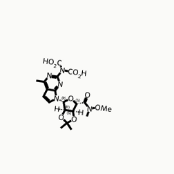 CON(C)C(=O)[C@H]1O[C@@H](n2ccc3c(C)nc(N(C(=O)O)C(=O)O)nc32)[C@@H]2OC(C)(C)O[C@@H]21